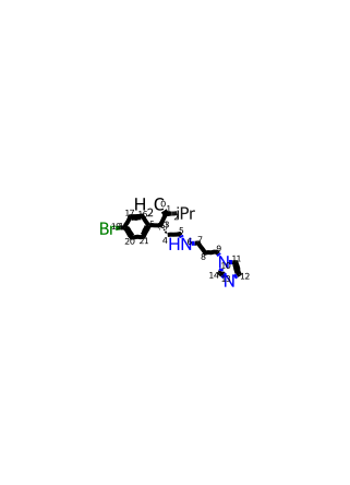 C=C(C(C)C)[C@H](CCNCCCn1ccnc1)c1ccc(Br)cc1